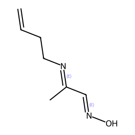 C=CCC/N=C(C)/C=N/O